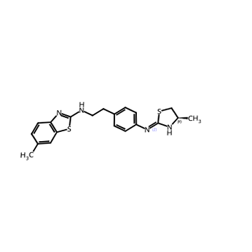 Cc1ccc2nc(NCCc3ccc(/N=C4/N[C@H](C)CS4)cc3)sc2c1